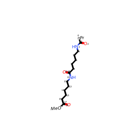 CCCC(=O)NCCCCCC(=O)NCCCCCC(=O)OC